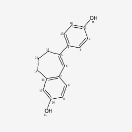 Oc1ccc(C2=Cc3ccc(O)cc3CCC2)cc1